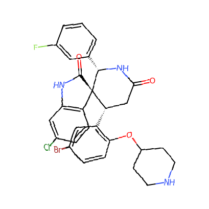 O=C1C[C@H](c2cc(Br)ccc2OC2CCNCC2)[C@@]2(C(=O)Nc3cc(Cl)ccc32)[C@H](c2cccc(F)c2)N1